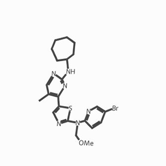 COCN(c1ccc(Br)cn1)c1ncc(-c2nc(NC3CCCCCC3)ncc2C)s1